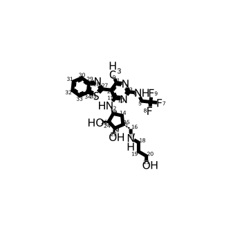 Cc1nc(NCC(F)(F)F)nc(N[C@@H]2C[C@H](CNCCCO)[C@@H](O)[C@H]2O)c1-c1nc2ccccc2s1